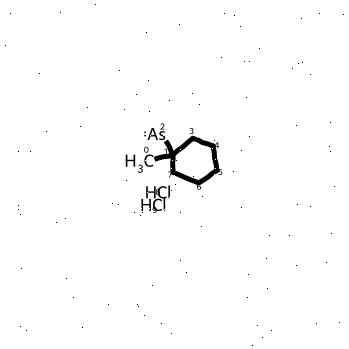 CC1([As])CCCCC1.Cl.Cl